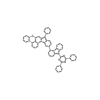 c1ccc(-c2nc(-c3ccccc3)nc(-n3c4ccccc4c4c(-c5ccc6c(c5)c5c7cccc8c7c(cc5n6-c5ccccc5)Sc5ccccc5-8)cccc43)n2)cc1